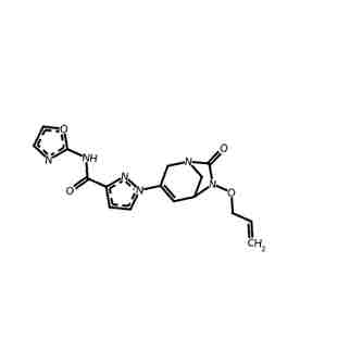 C=CCON1C(=O)N2CC(n3ccc(C(=O)Nc4ncco4)n3)=CC1C2